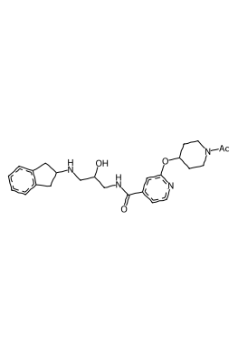 CC(=O)N1CCC(Oc2cc(C(=O)NCC(O)CNC3Cc4ccccc4C3)ccn2)CC1